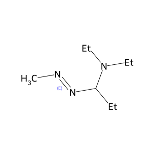 CCC(/N=N/C)N(CC)CC